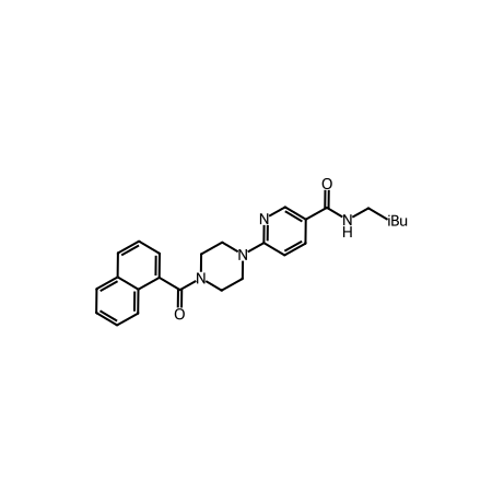 CCC(C)CNC(=O)c1ccc(N2CCN(C(=O)c3cccc4ccccc34)CC2)nc1